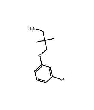 CC(C)c1cccc(OCC(C)(C)CN)c1